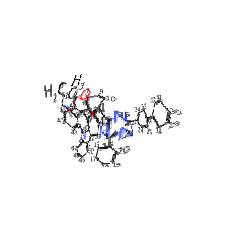 C=C/C=C\C1=C(C)Oc2ccc(-c3nc(-c4ccccc4)nc(-c4ccc(-c5ccccc5)cc4)n3)cc2C12c1ccccc1-n1c3ccccc3c3cccc2c31